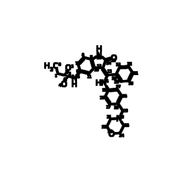 CCS(=O)(=O)Nc1ccc2c(c1)C(=C(Nc1ccc(CN3CCOCC3)cc1)c1ccccc1)C(=O)N2